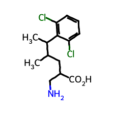 CC(CC(CN)C(=O)O)C(C)c1c(Cl)cccc1Cl